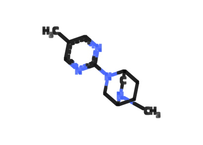 Cc1cnc(N2CC3CCC2CN3C)nc1